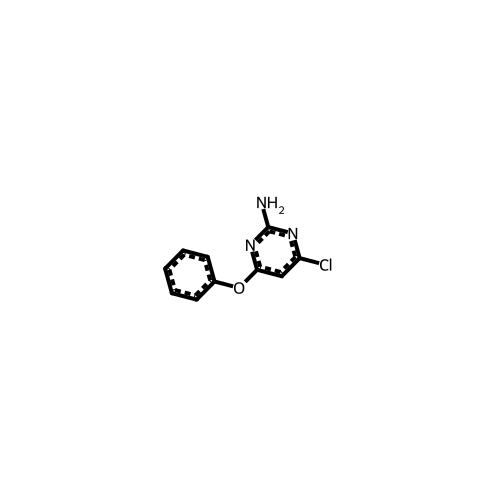 Nc1nc(Cl)cc(Oc2ccccc2)n1